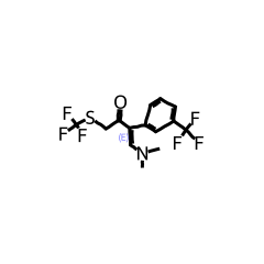 CN(C)/C=C(/C(=O)CSC(F)(F)F)c1cccc(C(F)(F)F)c1